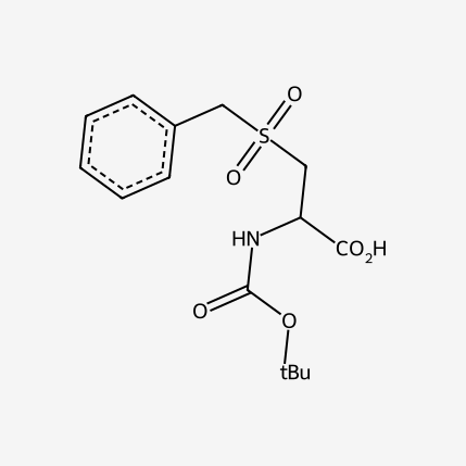 CC(C)(C)OC(=O)NC(CS(=O)(=O)Cc1ccccc1)C(=O)O